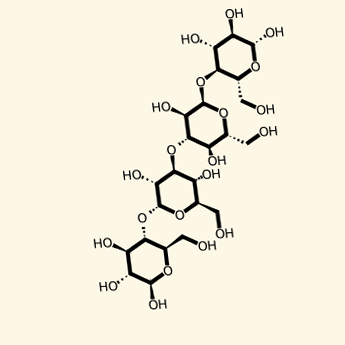 OC[C@H]1O[C@H](O[C@H]2[C@H](O)[C@@H](O)[C@H](O)O[C@@H]2CO)[C@H](O)[C@@H](O[C@@H]2[C@@H](O)[C@@H](O[C@H]3[C@H](O)[C@@H](O)[C@H](O)O[C@@H]3CO)O[C@H](CO)[C@H]2O)[C@@H]1O